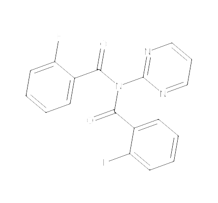 O=C(c1ccccc1F)N(C(=O)c1ccccc1F)c1ncccn1